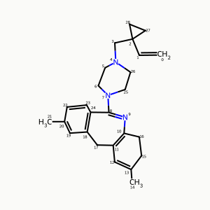 C=CC1(CN2CCN(C3=NC4=C(C=C(C)CC4)Cc4cc(C)ccc43)CC2)CC1